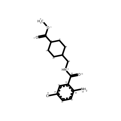 COC(=O)C1CCC(CNC(=O)c2cc(Cl)ccc2N)CC1